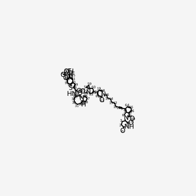 O=C1CCC(N2Cc3c(C#CCCCCCCn4ccc([C@@H]5CN(C(=O)[C@@H]6CC[C@@H]7CCCC[C@H](NC(=O)c8cc9cc(C(F)(F)P(=O)(O)O)ccc9s8)C(=O)N76)C6(CC6)C5)cc4=O)cccc3C2=O)C(=O)N1